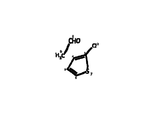 CC=O.Clc1cccs1